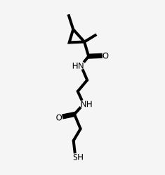 CC1CC1(C)C(=O)NCCNC(=O)CCS